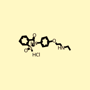 CCNCCOc1ccc(NC(=O)c2ccccc2S(C)(=O)=O)cc1.Cl